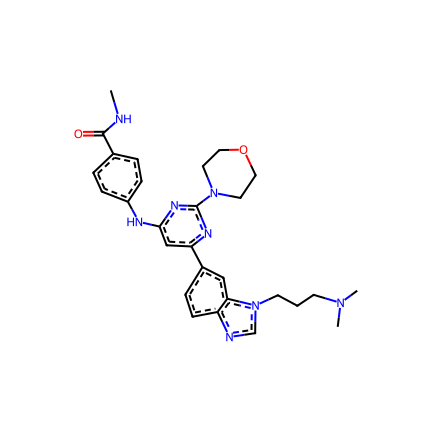 CNC(=O)c1ccc(Nc2cc(-c3ccc4ncn(CCCN(C)C)c4c3)nc(N3CCOCC3)n2)cc1